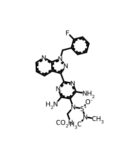 CN(C)[S+]([O-])N(CC(=O)O)c1c(N)nc(-c2nn(Cc3ccccc3F)c3ncccc23)nc1N